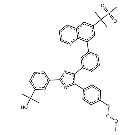 COOSc1ccc(-c2nc(-c3cccc(C(C)(C)O)c3)sc2-c2cccc(-c3cc(C(C)(C)S(C)(=O)=O)cc4cccnc34)c2)cc1